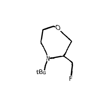 CC(C)(C)N1CCOCC1CF